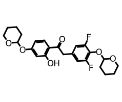 O=C(Cc1cc(F)c(OC2CCCCO2)c(F)c1)c1ccc(OC2CCCCO2)cc1O